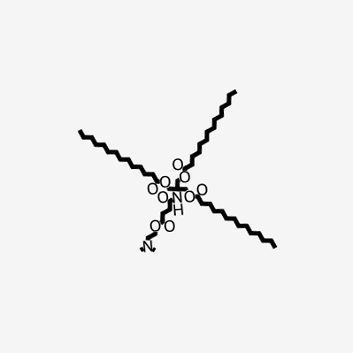 CCCCCCCCCCCCCC(=O)OCC(COC(=O)CCCCCCCCCCCCC)(COC(=O)CCCCCCCCCCCCC)NC(=O)CCC(=O)OCCN(C)C